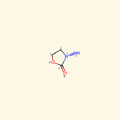 N=[N+]1CCOC1=O